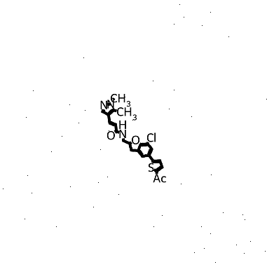 CC(=O)c1ccc(-c2cc(Cl)c3c(c2)CC(CNC(=O)/C=C/c2cnn(C)c2C)O3)s1